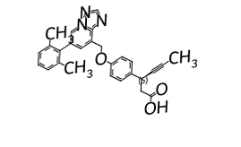 CC#C[C@@H](CC(=O)O)c1ccc(OCc2cc(-c3c(C)cccc3C)cn3ncnc23)cc1